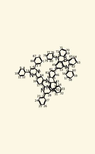 c1ccc(-c2cc(-c3ccccc3)nc(-c3ccc(-c4nc(-c5ccccc5)cc(-c5ccccc5)n4)c(-n4c5ccccc5c5cc(-c6cc7c8c(c6)N(c6ccccc6)c6ccccc6B8c6ccccc6N7c6ccccc6)ccc54)c3)n2)cc1